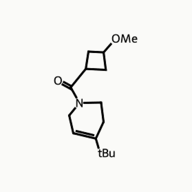 COC1CC(C(=O)N2CC=C(C(C)(C)C)CC2)C1